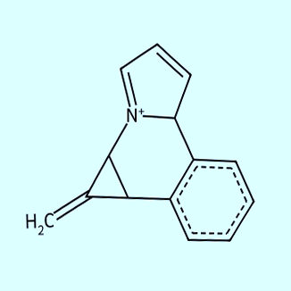 C=C1C2c3ccccc3C3C=CC=[N+]3C12